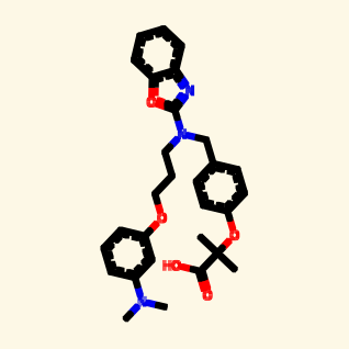 CN(C)c1cccc(OCCCN(Cc2ccc(OC(C)(C)C(=O)O)cc2)c2nc3ccccc3o2)c1